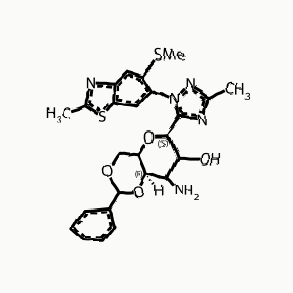 CSc1cc2nc(C)sc2cc1-n1nc(C)nc1[C@@H]1OC2COC(c3ccccc3)O[C@@H]2C(N)C1O